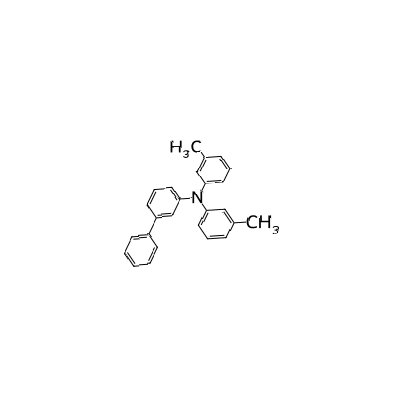 Cc1cccc(N(c2cccc(C)c2)c2cccc(-c3ccccc3)c2)c1